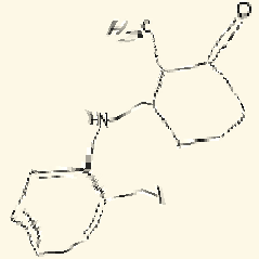 CC1C(=O)CCCC1Nc1ccccc1I